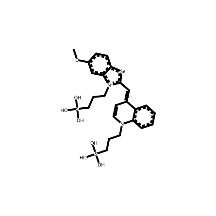 COc1ccc2[se]c(/C=C3\C=CN(CCCS(O)(O)O)c4ccccc43)[n+](CCCS(O)(O)O)c2c1